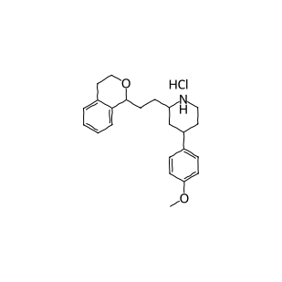 COc1ccc(C2CCNC(CCC3OCCc4ccccc43)C2)cc1.Cl